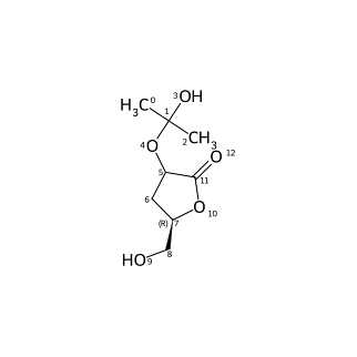 CC(C)(O)OC1C[C@H](CO)OC1=O